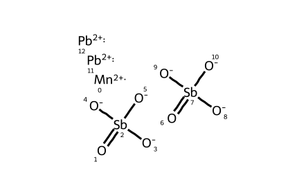 [Mn+2].[O]=[Sb]([O-])([O-])[O-].[O]=[Sb]([O-])([O-])[O-].[Pb+2].[Pb+2]